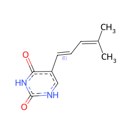 CC(C)=C/C=C/c1c[nH]c(=O)[nH]c1=O